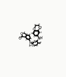 O=C1OCc2ccc(Nc3ncc(F)c(Nc4ccc5c(c4)OCCO5)n3)cc21